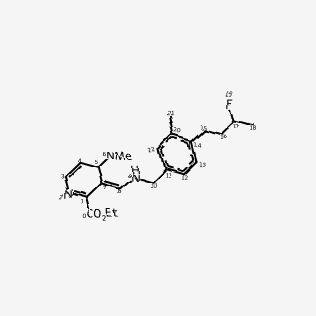 CCOC(=O)C1=NC=CC(NC)/C1=C\NCc1ccc(CCC(C)F)c(C)c1